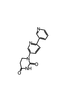 O=C1CCN(c2ccc(-c3cccnc3)nc2)C(=O)N1